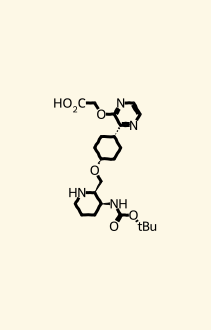 CC(C)(C)OC(=O)N[C@H]1CCCN[C@H]1CO[C@H]1CC[C@@H](c2nccnc2OCC(=O)O)CC1